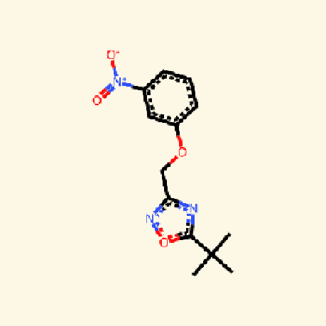 CC(C)(C)c1nc(COc2cccc([N+](=O)[O-])c2)no1